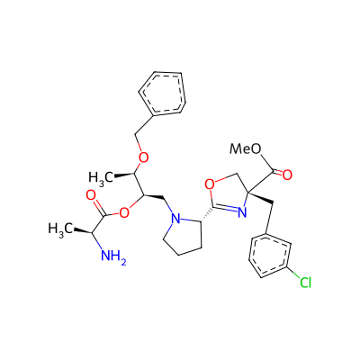 COC(=O)[C@@]1(Cc2cccc(Cl)c2)COC([C@@H]2CCCN2C[C@@H](OC(=O)[C@H](C)N)[C@@H](C)OCc2ccccc2)=N1